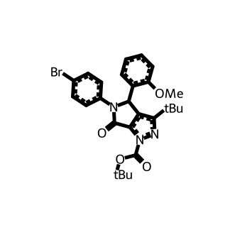 COc1ccccc1C1c2c(C(C)(C)C)nn(C(=O)OC(C)(C)C)c2C(=O)N1c1ccc(Br)cc1